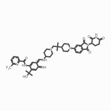 CC(C)(O)C1=CC(=N)/C(=C\NC2CCN(CC(C)(C)C3CCN(c4ccc5c(c4)C(=O)N(C4CCC(=O)NC4=O)C5=O)CC3)CC2)C=C1NC(=O)c1cccc(C(F)(F)F)n1